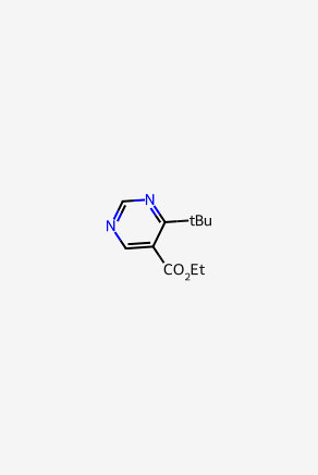 CCOC(=O)c1cncnc1C(C)(C)C